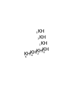 [KH].[KH].[KH].[KH].[KH].[KH].[KH]